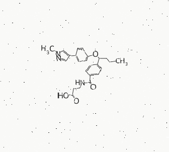 CCCC(Oc1ccc(-c2cnn(C)c2)cc1)c1ccc(C(=O)NCCC(=O)O)cc1